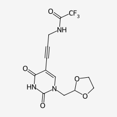 O=C(NCC#Cc1cn(CC2OCCO2)c(=O)[nH]c1=O)C(F)(F)F